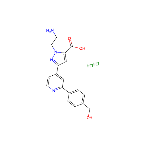 Cl.Cl.NCCn1nc(-c2ccnc(-c3ccc(CO)cc3)c2)cc1C(=O)O